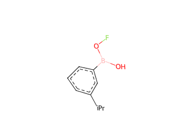 CC(C)c1cccc(B(O)OF)c1